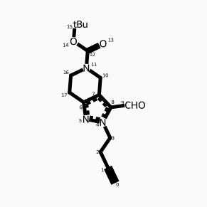 C#CCCn1nc2c(c1C=O)CN(C(=O)OC(C)(C)C)CC2